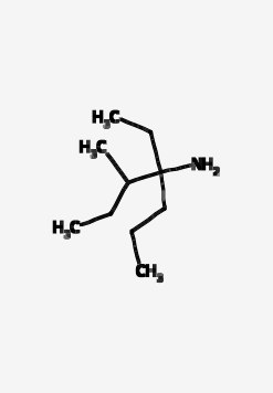 CCCC(N)(CC)C(C)CC